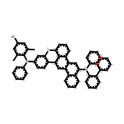 Cc1cc(C#N)cc(C)c1N(c1ccccc1)c1ccc2c(c1)Oc1cccc3c1c-2cc1c2ccccc2c(N(c2ccccc2)c2ccccc2-c2ccccc2)cc31